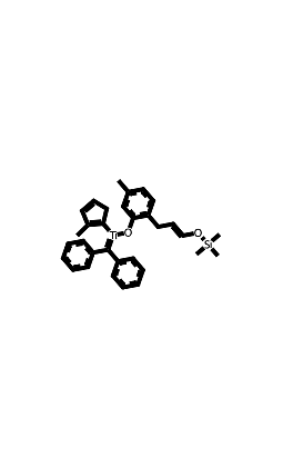 CC1=[C]([Ti]([O]c2cc(C)ccc2CC=CO[Si](C)(C)C)=[C](c2ccccc2)c2ccccc2)CC=C1